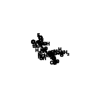 CC(C)[C@H](NC(=O)CCNC(=O)[C@@H](N)CCN(C(=O)CO)[C@@H](c1nc(-c2cc(F)ccc2F)cn1Cc1ccccc1)C(C)(C)C)C(=O)N(c1ccc(N2C(=O)C=CC2=O)cc1)[C@@H](CCCNC(N)=O)C(N)=O.O=C(O)C(F)(F)F